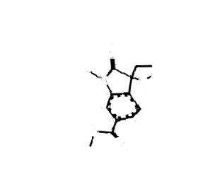 CCC1(OC)C(=O)N(C)c2cc(C(=O)OC)ccc21